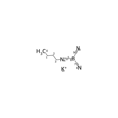 CCCC[N+]#CB(C#N)C#N.[K+]